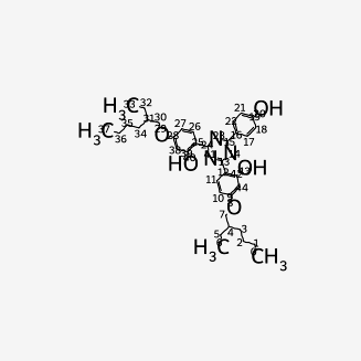 CCCCC(CC)COc1ccc(-c2nc(-c3ccc(O)cc3)nc(-c3ccc(OCC(CC)CCCC)cc3O)n2)c(O)c1